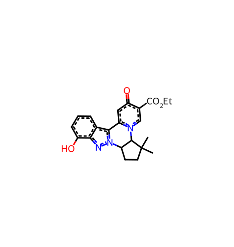 CCOC(=O)c1cn2c(cc1=O)-c1c3cccc(O)c3nn1C1CCC(C)(C)C12